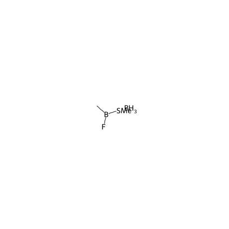 B.CSB(C)F